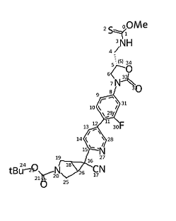 COC(=S)NC[C@H]1CN(c2ccc(-c3ccc(C4(C#N)C5CN(C(=O)OC(C)(C)C)CC54)nc3)c(F)c2)C(=O)O1